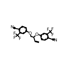 C=CC(COc1ccc(C#N)c(C(F)(F)F)c1)Oc1ccc(C#N)c(C(F)(F)F)c1